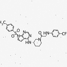 Cc1ccc(S(=O)(=O)n2ccc3c(N[C@H]4CCCN(C(=O)CNc5ccc(C(F)(F)F)cc5)C4)ncnc32)cc1